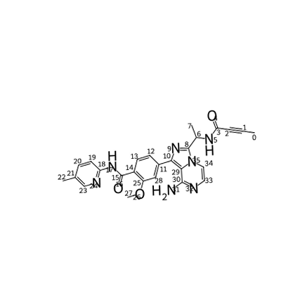 CC#CC(=O)NC(C)c1nc(-c2ccc(C(=O)Nc3ccc(C)cn3)c(OC)c2)c2c(N)nccn12